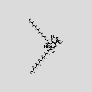 CCCCCCCCCCCCCC(=O)C1C(P)=C([N+](=O)[O-])C=CC1(O)C(=O)CCCCCCCCCCCCC